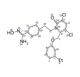 CCc1cccc(OCc2c(Cl)cc(Cl)c(=O)n2CCc2ccc(/C(N)=N/O)cc2)c1